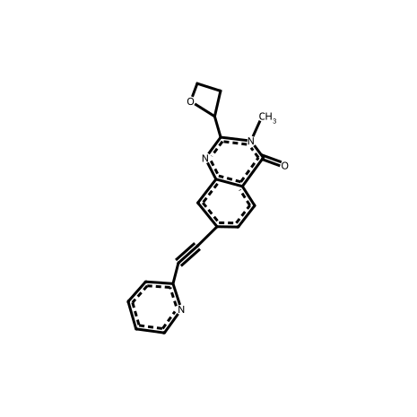 Cn1c(C2CCO2)nc2cc(C#Cc3ccccn3)ccc2c1=O